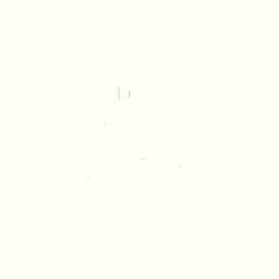 CCOC(=O)C1CC(C(=O)O)CCO1